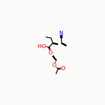 C=C(CC)C(=O)O.C=CC#N.C=COC(C)=O